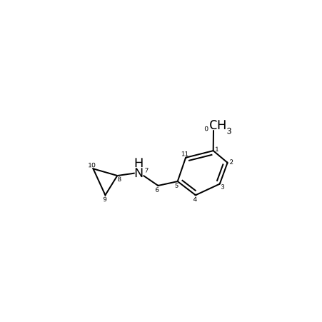 Cc1cccc(CNC2CC2)c1